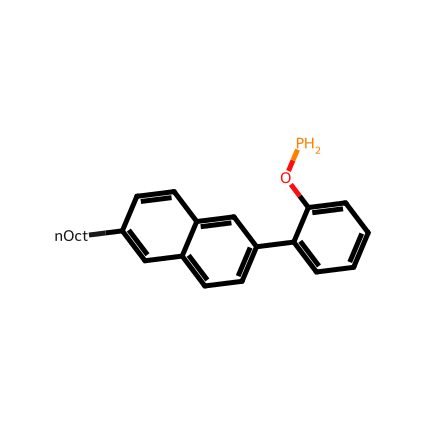 CCCCCCCCc1ccc2cc(-c3ccccc3OP)ccc2c1